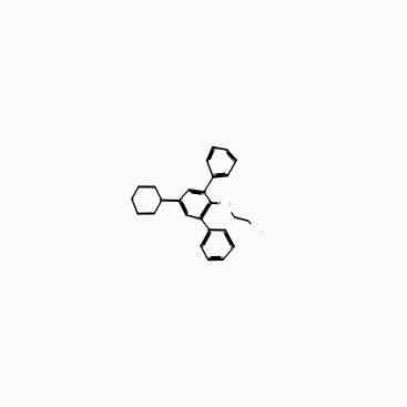 OCCOc1c(-c2ccccc2)cc(C2CCCCC2)cc1-c1ccccc1